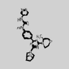 C[C@H]1COCCN1c1nc(-c2ccc(NC(=O)Nc3ccnnc3)cc2)nc(N2CC3CCC(C2)O3)n1